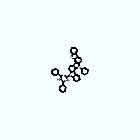 C1=CCC(C2NC(n3c4ccccc4c4c3ccc3c5c6oc7ccccc7c6ccc5n(C5=CCCC=C5)c34)=NC(c3ccccc3)N2)C=C1